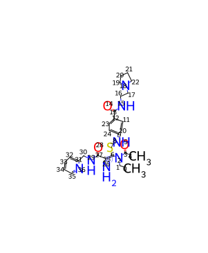 CCN(C(C)=O)/C(SNc1ccc(C(=O)NCCN2CCCC2)cc1)=C(\N)C(=O)NCc1ccccn1